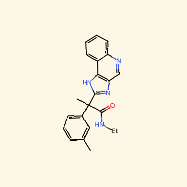 CCNC(=O)C(C)(c1cccc(C)c1)c1nc2cnc3ccccc3c2[nH]1